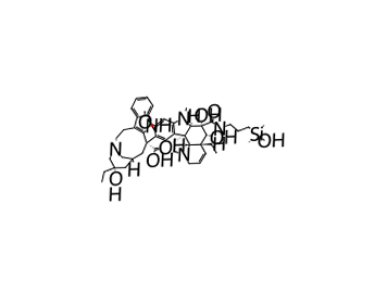 CC[C@]1(O)C[C@@H]2C[N@@](CCc3c([nH]c4ccccc34)[C@@](C(=O)O)(c3cc4c(cc3OC)N(C)[C@H]3[C@@](O)(C(=O)NCCC[Si](C)(C)O)[C@H](O)[C@]5(CC)C=CCN6CC[C@]43[C@@H]65)C2)C1